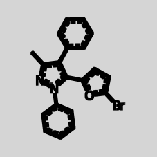 Cc1nn(-c2ccccc2)c(-c2ccc(Br)o2)c1-c1ccccc1